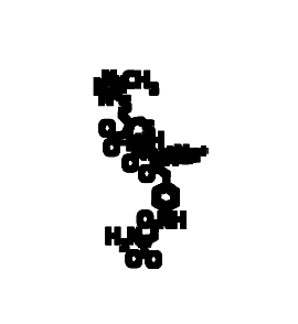 Cn1nnnc1SCC1=C(C(=O)[O-])N2C(=O)[C@@H](NC(=O)Cc3ccc(NC(=O)C[C@@H](N)C(=O)[O-])cc3)[C@@H]2SC1.[Na+].[Na+]